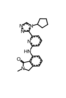 CN1Cc2cccc(Nc3cccc(-c4nncn4C4CCCC4)n3)c2C1=O